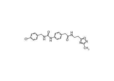 Cc1noc(CCNC(=O)Cc2ccc(NC(=O)NCc3ccc(Cl)cc3)cc2)n1